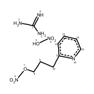 N=C(N)N.O=[N+]([O-])O.O=[N+]([O-])OCCCc1ccccn1